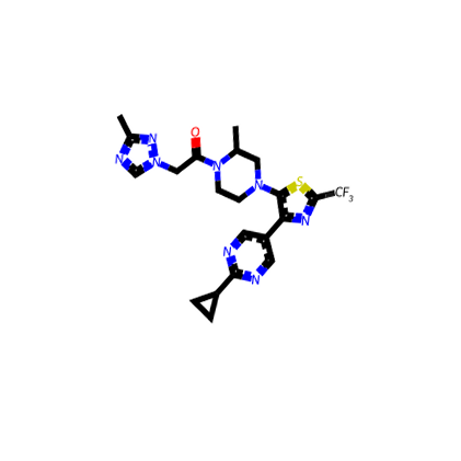 Cc1ncn(CC(=O)N2CCN(c3sc(C(F)(F)F)nc3-c3cnc(C4CC4)nc3)CC2C)n1